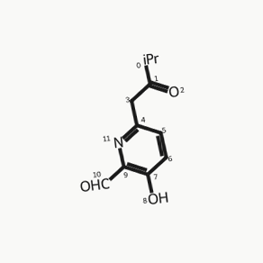 CC(C)C(=O)Cc1ccc(O)c(C=O)n1